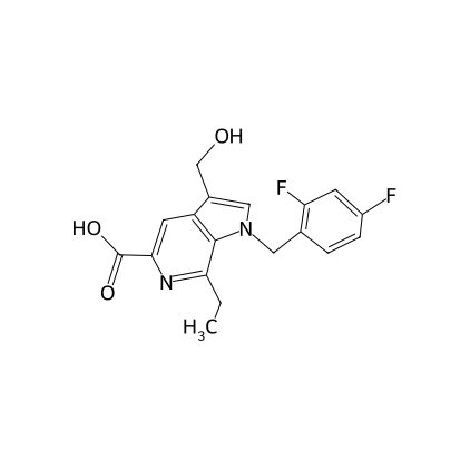 CCc1nc(C(=O)O)cc2c(CO)cn(Cc3ccc(F)cc3F)c12